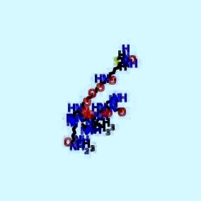 CNC(CCCCn1cc(CC(NC(=O)COCCOCCOCCNC(=O)CCCCC2SC[C@H]3NC(=O)N[C@@H]23)C(=O)N[C@@H](Cc2c[nH]cn2)C(=O)N[C@H](C(=O)NCC(=O)N[C@@H](Cc2c[nH]cn2)C(=O)NCC=O)C(C)C)nn1)C(N)=O